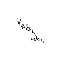 C=CCOc1ncc(-c2ccc(/C=C/CCCC(C)O)cc2F)cn1